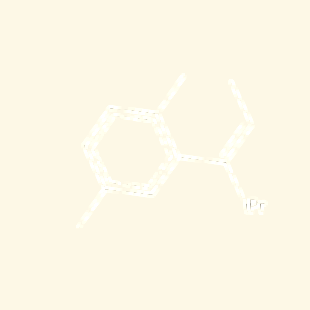 C/C=C(\c1cc(C)ccc1C)C(C)C